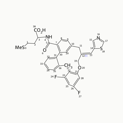 CSCCC(NC(=O)c1ccc(C/C(=C\c2cncs2)COc2cc(F)cc(F)c2)cc1-c1ccccc1C)C(=O)O